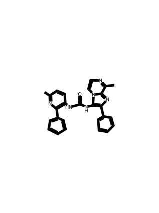 Cc1ccc(NC(=O)Nc2c(-c3ccccc3)nc3c(C)nccn23)c(-c2ccccc2)n1